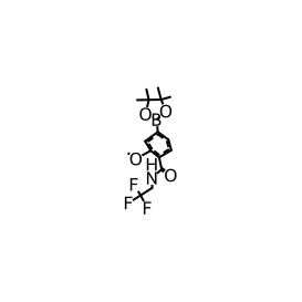 COc1cc(B2OC(C)(C)C(C)(C)O2)ccc1C(=O)NCC(F)(F)F